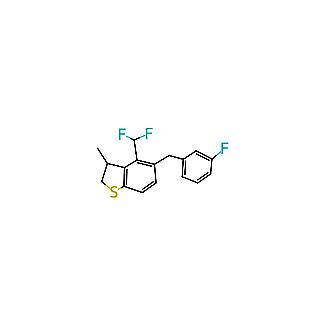 CC1CSc2ccc(Cc3cccc(F)c3)c(C(F)F)c21